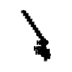 CCCCCCCCCCCCCCCCOCCCCOP(=O)(O)OC[C@H]1O[C@@](C#N)(c2ccc3c(C)ncnn23)[C@H](O)[C@@H]1O